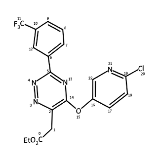 CCOC(=O)Cc1nnc(-c2cccc(C(F)(F)F)c2)nc1Oc1ccc(Cl)nc1